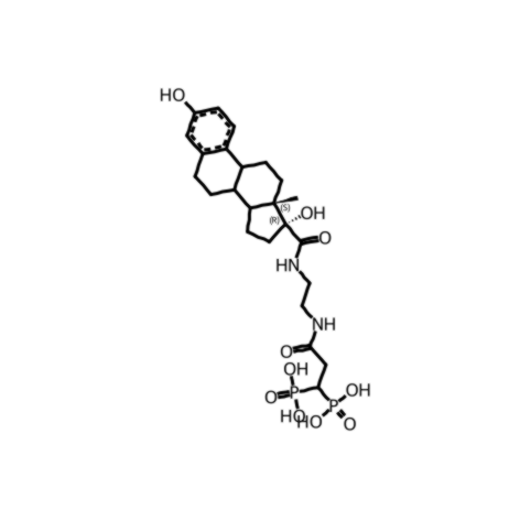 C[C@]12CCC3c4ccc(O)cc4CCC3C1CC[C@]2(O)C(=O)NCCNC(=O)CC(P(=O)(O)O)P(=O)(O)O